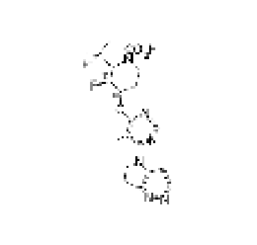 Cc1c(O[C@@H]2CCN(C(=O)O)C(C3(C)CC3)[C@@H]2F)ncnc1N1CCc2nnccc21